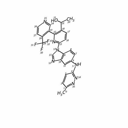 Cc1ccc(Nc2ccc3c(c2)ncn3-c2ccc(C(C)O)c(-c3cnccc3C(F)(F)F)n2)nn1